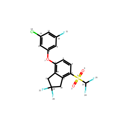 O=S(=O)(c1ccc(Oc2cc(F)cc(Cl)c2)c2c1CC(F)(F)C2)C(F)F